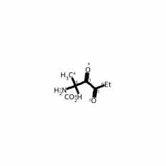 CCC(=O)C(=O)C(C)(N)C(=O)O